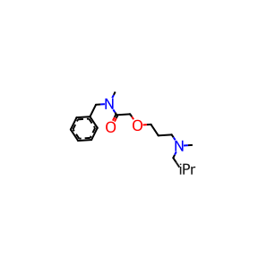 CC(C)CN(C)CCCOCC(=O)N(C)Cc1ccccc1